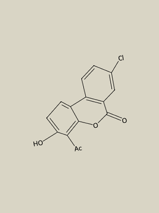 CC(=O)c1c(O)ccc2c1oc(=O)c1cc(Cl)ccc12